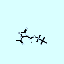 CC(=O)[C@H]1NC(=O)[C@@H]1[C@@H](C)O[Si](C)(C)C(C)(C)C